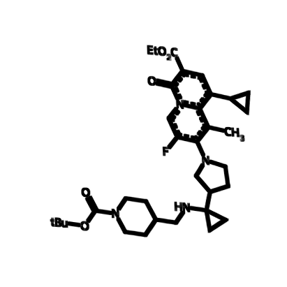 CCOC(=O)c1cc(C2CC2)c2c(C)c(N3CCC(C4(NCC5CCN(C(=O)OC(C)(C)C)CC5)CC4)C3)c(F)cn2c1=O